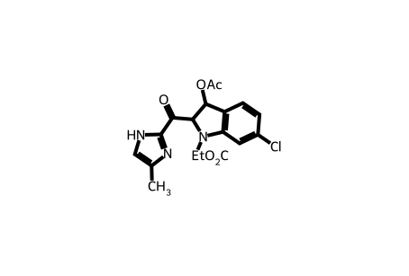 CCOC(=O)N1c2cc(Cl)ccc2C(OC(C)=O)C1C(=O)c1nc(C)c[nH]1